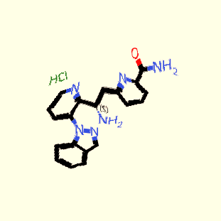 Cl.NC(=O)c1cccc(C[C@H](N)c2ncccc2-n2ncc3ccccc32)n1